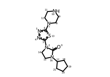 O=C1N(c2nnc(N3CCNCC3)s2)CCN1C1CCCC1